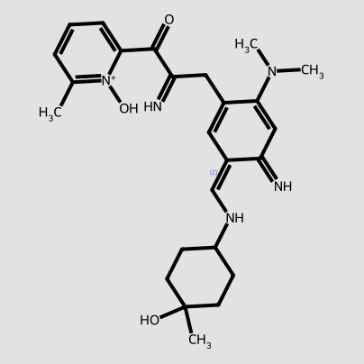 Cc1cccc(C(=O)C(=N)CC2=C/C(=C/NC3CCC(C)(O)CC3)C(=N)C=C2N(C)C)[n+]1O